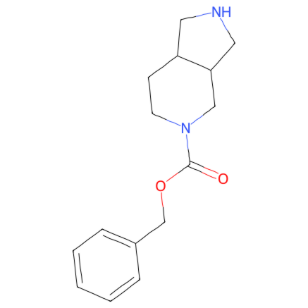 O=C(OCc1ccccc1)N1CCC2CNCC2C1